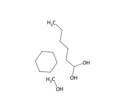 C1CCCCC1.CCCCCC(O)O.CO